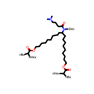 CCCCCCCCCCN(C(=O)CCCN(C)C)C(CCCCCCCCCOC(=O)C(CCCC)CCCCCC)CCCCCCCCCOC(=O)C(CCCC)CCCCCC